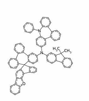 CC1(C)c2ccccc2-c2ccc(N(c3ccc4c(c3)-c3ccccc3-c3ccccc3N4c3ccccc3)c3ccc4c(c3)-c3ccccc3-c3ccccc3C43c4ccccc4-c4c3ccc3c4oc4ccccc43)cc21